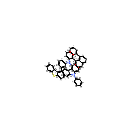 c1ccc(-c2cccc3cccc(-c4ccccc4N(c4cccc(-c5cccc6sc7ccccc7c56)c4)c4cccc5c4c4ccccc4n5-c4ccccc4)c23)cc1